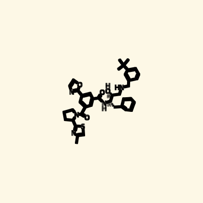 Cc1csc(C2CCCN2C(=O)c2cc(C(=O)N[C@@H](Cc3ccccc3)[C@H](O)CNCc3cccc(C(C)(C)C)c3)cc(-c3ncco3)c2)n1